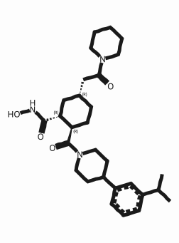 CC(C)c1cccc(C2CCN(C(=O)[C@@H]3CC[C@@H](CC(=O)N4CCCCC4)C[C@H]3C(=O)NO)CC2)c1